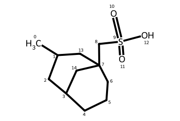 CC1CC2CCCC(CS(=O)(=O)O)(C1)C2